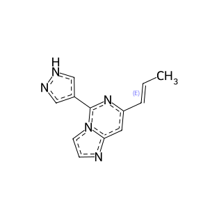 C/C=C/c1cc2nccn2c(-c2cn[nH]c2)n1